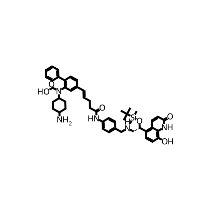 CC(C)(C)[Si](C)(C)O[C@@H](CNCc1ccc(NC(=O)CC/C=C/c2ccc(-c3ccccc3)c(N(C(=O)O)C3CCC(N)CC3)c2)cc1)c1ccc(O)c2[nH]c(=O)ccc12